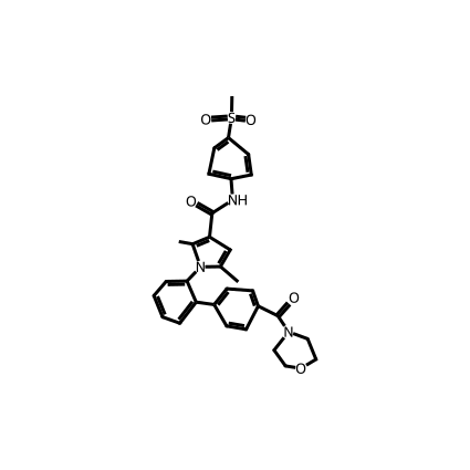 Cc1cc(C(=O)Nc2ccc(S(C)(=O)=O)cc2)c(C)n1-c1ccccc1-c1ccc(C(=O)N2CCOCC2)cc1